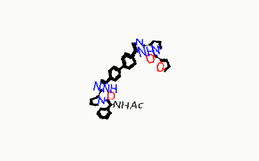 CC(=O)N[C@@H](C(=O)N1CCC[C@H]1c1ncc(-c2ccc(-c3ccc(-c4cnc([C@@H]5CCCN5C(=O)[C@H]5CCCO5)[nH]4)cc3)cc2)[nH]1)c1ccccc1